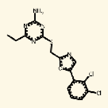 CCc1nc(N)nc(SCc2ncc(-c3cccc(Cl)c3Cl)o2)n1